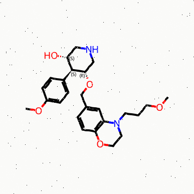 COCCCN1CCOc2ccc(CO[C@H]3CNC[C@@H](O)[C@@H]3c3ccc(OC)cc3)cc21